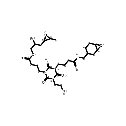 CCC(COC(=O)CCCn1c(=O)n(CCO)c(=O)n(CCCC(=O)OCC2CCC3OC3C2)c1=O)CC1OC1C